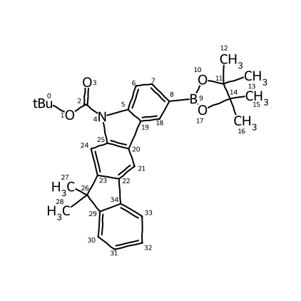 CC(C)(C)OC(=O)n1c2ccc(B3OC(C)(C)C(C)(C)O3)cc2c2cc3c(cc21)C(C)(C)c1ccccc1-3